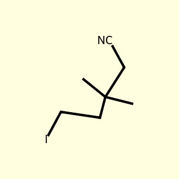 CC(C)(CC#N)CCI